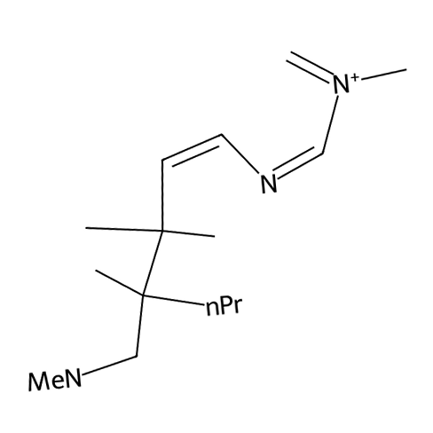 C=[N+](C)/C=N\C=C/C(C)(C)C(C)(CCC)CNC